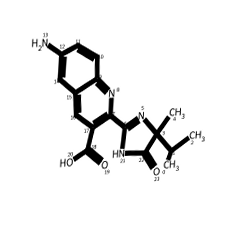 CC(C)C1(C)N=C(c2nc3ccc(N)cc3cc2C(=O)O)NC1=O